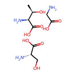 C[C@@H](O)[C@H](N)C(=O)O.NCC(=O)O.N[C@@H](CO)C(=O)O